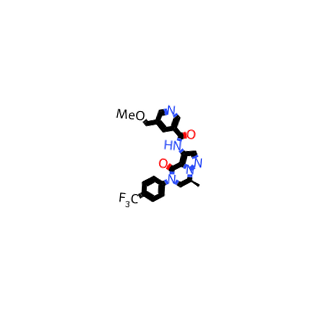 COCc1cncc(C(=O)Nc2cnn3c2C(=O)N(c2ccc(C(F)(F)F)cc2)C[C@@H]3C)c1